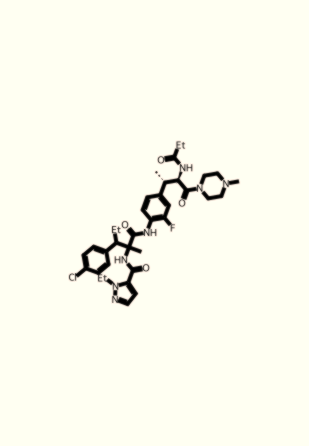 CCC(=O)N[C@@H](C(=O)N1CCN(C)CC1)[C@@H](C)c1ccc(NC(=O)C(C)(NC(=O)c2ccnn2CC)C(CC)c2ccc(Cl)cc2)c(F)c1